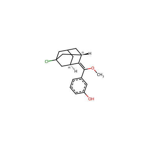 COC(=C1[C@@H]2CC3C[C@H]1CC(Cl)(C3)C2)c1cccc(O)c1